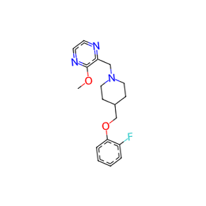 COc1nccnc1CN1CCC(COc2ccccc2F)CC1